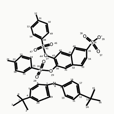 CC(C)(C)c1ccc([I+]c2ccc(C(C)(C)C)cc2)cc1.Cc1ccc(S(=O)(=O)Oc2cc3ccc(S(=O)(=O)[O-])cc3cc2OS(=O)(=O)c2ccc(C)cc2)cc1